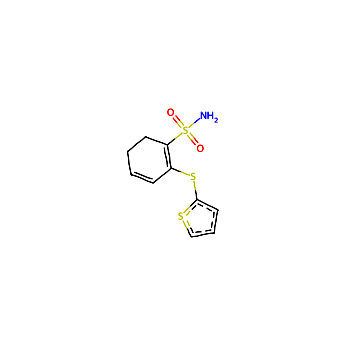 NS(=O)(=O)C1=C(Sc2cccs2)C=CCC1